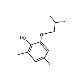 Cc1cc(C)c(O)c(OCC(C)C)c1